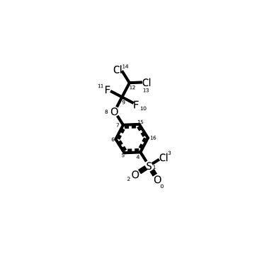 O=S(=O)(Cl)c1ccc(OC(F)(F)C(Cl)Cl)cc1